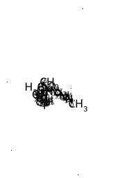 CCN1CCN(c2ccc(C(=O)NC(CC(C)C)C(=O)N3C[C@@H](C(F)F)[C@H]4OCC(=O)[C@H]43)cc2)CC1